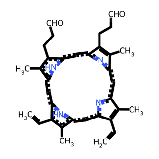 C=CC1=C(C)c2cc3nc(cc4[nH]c(cc5[nH]c(cc1n2)c(C)c5C=C)c(C)c4CCC=O)C(CCC=O)=C3C